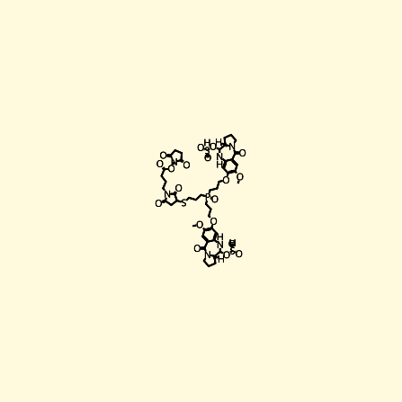 COc1cc2c(cc1OCCCP(=O)(CCCOc1cc3c(cc1OC)C(=O)N1CCC[C@H]1C(O[SH](=O)=O)N3)CCCSC1CC(=O)N(CCCC(=O)ON3C(=O)CCC3=O)C1=O)NC(O[SH](=O)=O)[C@@H]1CCCN1C2=O